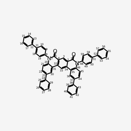 O=c1c2cc3c(=O)n(-c4ccc(-c5ccccc5)cc4)c4ccc(-c5ccccc5)cc4c3cc2c2cc(-c3ccccc3)ccc2n1-c1ccc(-c2ccccc2)cc1